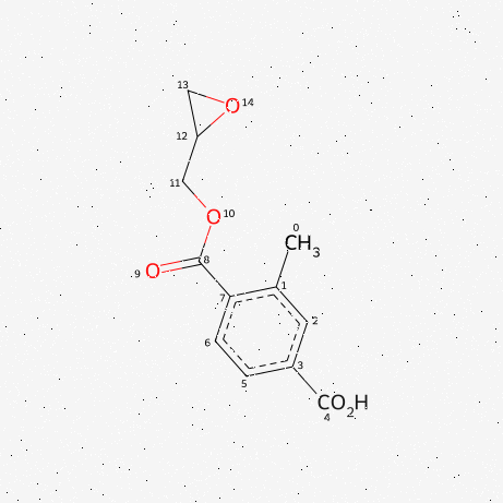 Cc1cc(C(=O)O)ccc1C(=O)OCC1CO1